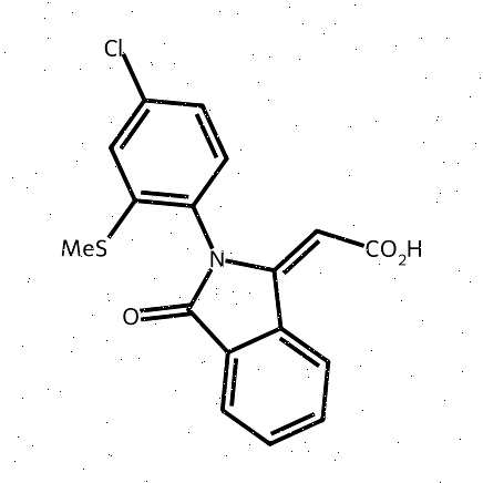 CSc1cc(Cl)ccc1N1C(=O)c2ccccc2/C1=C\C(=O)O